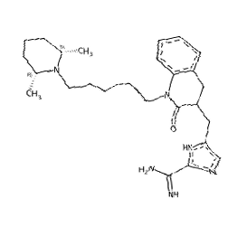 C[C@@H]1CCC[C@H](C)N1CCCCCN1C(=O)C(Cc2cnc(C(=N)N)[nH]2)Cc2ccccc21